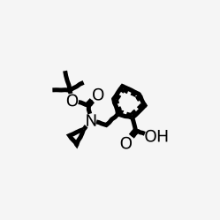 CC(C)(C)OC(=O)N(Cc1ccccc1C(=O)O)C1CC1